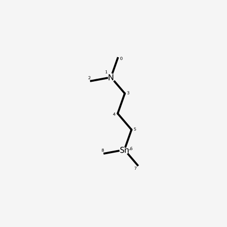 CN(C)CC[CH2][Sn]([CH3])[CH3]